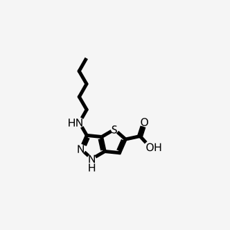 CCCCCNc1n[nH]c2cc(C(=O)O)sc12